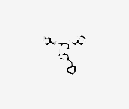 O=C(CC(NC(=O)c1cnccn1)C(=O)NC(CCCc1ccccc1)B(O)O)NCc1cn[nH]c1